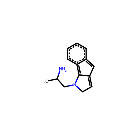 CC(N)CN1CC=C2C=c3ccccc3=C21